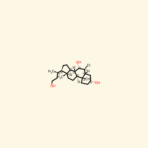 CC[C@@H]1[C@@H](O)[C@@H]2[C@H](CC[C@]3(C)[C@@H]([C@H](C)CCO)CC[C@@H]23)[C@@]2(C)CC[C@@H](O)C[C@@H]12